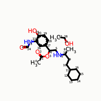 CC(=O)OC(CNC(C)CCC1CCCCC1)c1ccc(O)c(NC=O)c1.CCO